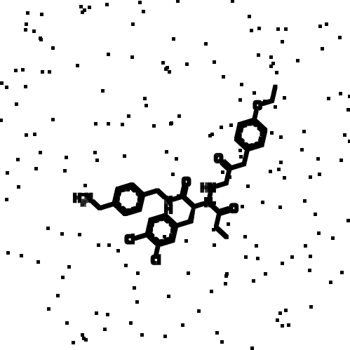 CCOc1ccc(CC(=O)CNN(C(=O)CC)[C@@H](Cc2ccc(Cl)c(Cl)c2)C(=O)NCc2ccc(CN)cc2)cc1